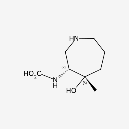 C[C@]1(O)CCCNC[C@H]1NC(=O)O